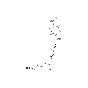 CCCCCN(C)CCCCCCOC1CCC(CN)CC1